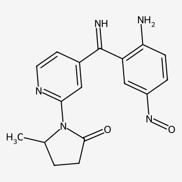 CC1CCC(=O)N1c1cc(C(=N)c2cc(N=O)ccc2N)ccn1